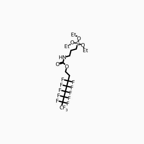 CCO[Si](CCCNC(=O)OCCC(F)(F)C(F)(F)C(F)(F)C(F)(F)C(F)(F)C(F)(F)F)(OCC)OCC